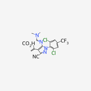 C=C(C(=O)O)c1c(C#N)nn(-c2c(Cl)cc(C(F)(F)F)cc2Cl)c1/N=C/N(C)C